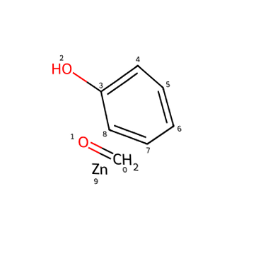 C=O.Oc1ccccc1.[Zn]